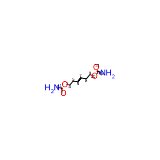 NC(=O)OCCC=CCCOC(N)=O